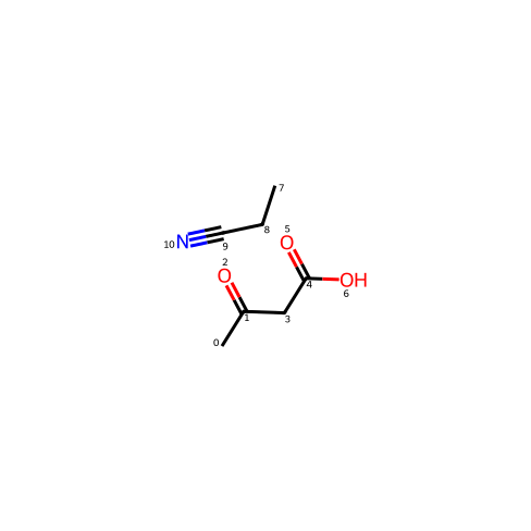 CC(=O)CC(=O)O.CCC#N